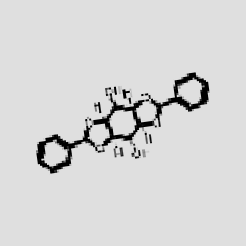 O[C@@H]1[C@H]2OC(c3ccccc3)O[C@H]2[C@@H](O)[C@@H]2OC(c3ccccc3)O[C@@H]12